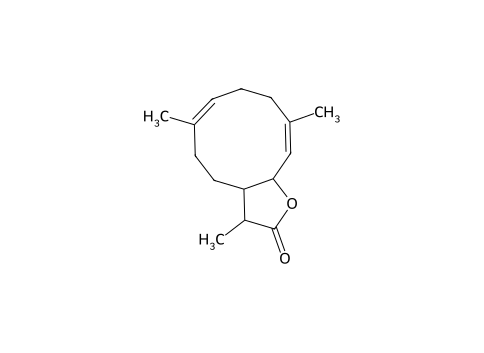 CC1=CC2OC(=O)C(C)C2CCC(C)=CCC1